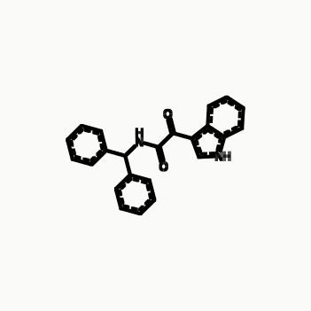 O=C(NC(c1ccccc1)c1ccccc1)C(=O)c1c[nH]c2ccccc12